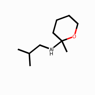 CC(C)[CH2][AlH][C]1(C)CCCCO1